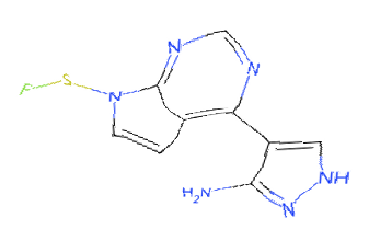 Nc1n[nH]cc1-c1ncnc2c1ccn2SF